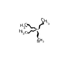 CC=C[P+](CCCC)(CCCC)CCCC.[Br-]